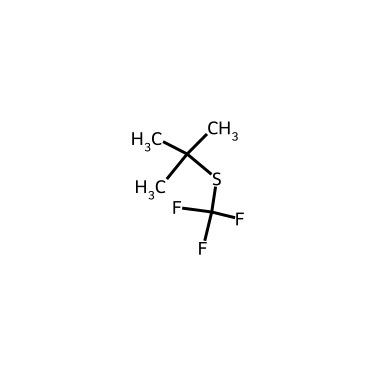 CC(C)(C)SC(F)(F)F